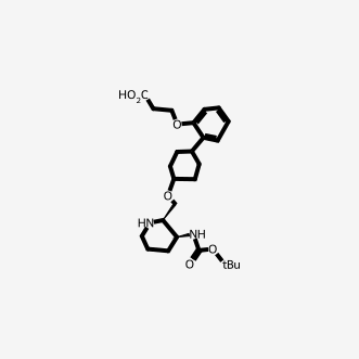 CC(C)(C)OC(=O)N[C@H]1CCCN[C@H]1COC1CCC(c2ccccc2OCCC(=O)O)CC1